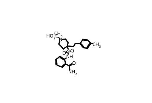 C.Cc1ccc(CCC2(S(=O)(=O)Nc3ccccc3C(N)=O)CCN(C(=O)O)CC2)cc1